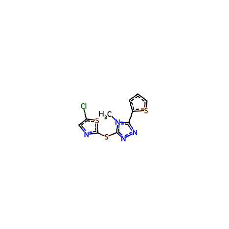 Cn1c(Sc2ncc(Cl)s2)nnc1-c1cccs1